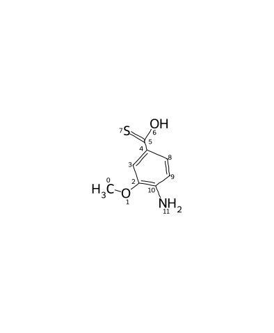 COc1cc(C(O)=S)ccc1N